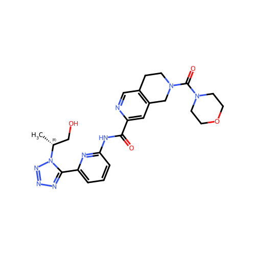 C[C@H](CO)n1nnnc1-c1cccc(NC(=O)c2cc3c(cn2)CCN(C(=O)N2CCOCC2)C3)n1